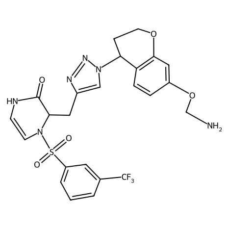 NCOc1ccc2c(c1)OCCC2n1cc(CC2C(=O)NC=CN2S(=O)(=O)c2cccc(C(F)(F)F)c2)nn1